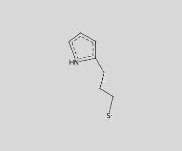 [S]CCCc1ccc[nH]1